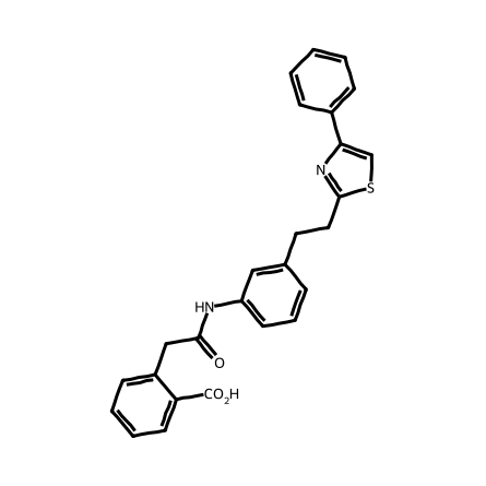 O=C(Cc1ccccc1C(=O)O)Nc1cccc(CCc2nc(-c3ccccc3)cs2)c1